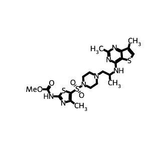 COC(=O)Nc1nc(C)c(S(=O)(=O)N2CCN(CC(C)Nc3nc(C)nc4c(C)csc34)CC2)s1